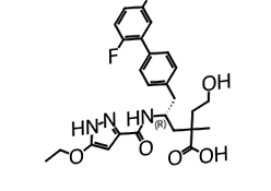 CCOc1cc(C(=O)N[C@H](Cc2ccc(-c3cc(Cl)ccc3F)cc2)CC(C)(CCO)C(=O)O)n[nH]1